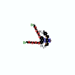 Cc1ccc(-c2ccc(-c3c4nsnc4c(-c4ccc(C)s4)c4nc(-c5ccc(OCCOCCOCCOCCBr)cc5)c(-c5ccc(OCCOCCOCCOCCBr)cc5)nc34)s2)cc1